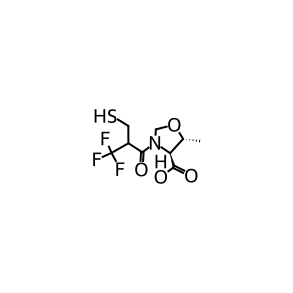 C[C@H]1OCN(C(=O)C(CS)C(F)(F)F)[C@@H]1C(=O)O